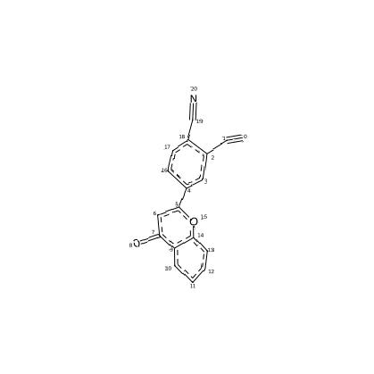 C#Cc1cc(-c2cc(=O)c3ccccc3o2)ccc1C#N